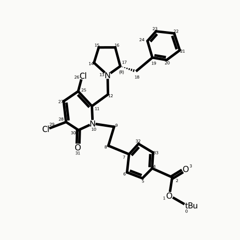 CC(C)(C)OC(=O)c1ccc(CCn2c(CN3CCC[C@@H]3Cc3ccccc3)c(Cl)cc(Cl)c2=O)cc1